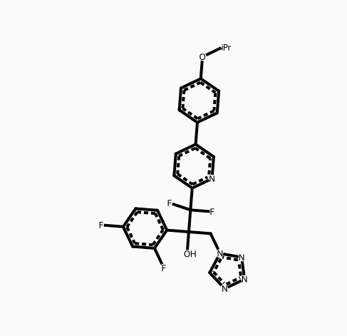 CC(C)Oc1ccc(-c2ccc(C(F)(F)C(O)(Cn3cnnn3)c3ccc(F)cc3F)nc2)cc1